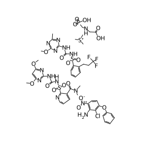 COc1cc(OC)nc(NC(=O)NS(=O)(=O)c2ncccc2C(=O)N(C)C)n1.COc1nc(C)nc(NC(=O)NS(=O)(=O)c2ccccc2CCC(F)(F)F)n1.C[S+](C)C.Nc1c([N+](=O)[O-])ccc(Oc2ccccc2)c1Cl.O=C(O)CNCP(=O)([O-])O